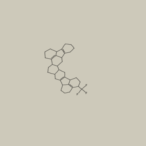 FC(F)(F)C1CCC2C3=C(CC4CCC5C6=C7C(CCC6)C6=C(CCCC6)C7CC5C4C3)C3CCCC1=C32